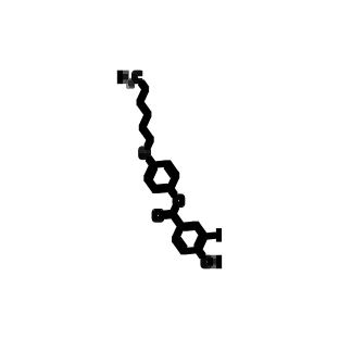 CCCCCCOc1ccc(OC(=O)c2ccc(O)c(I)c2)cc1